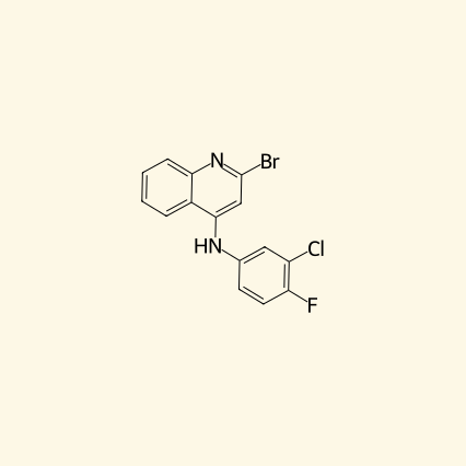 Fc1ccc(Nc2cc(Br)nc3ccccc23)cc1Cl